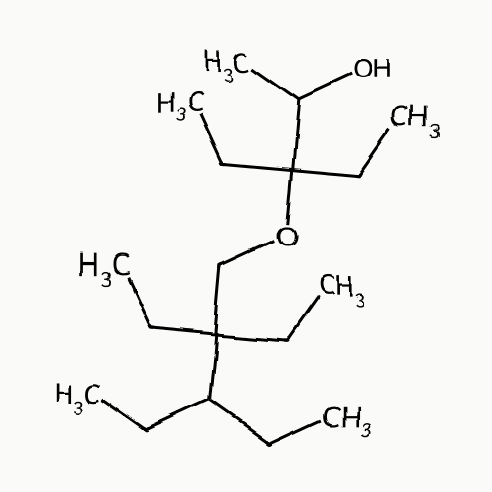 CCC(CC)C(CC)(CC)COC(CC)(CC)C(C)O